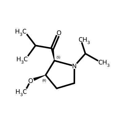 CO[C@@H]1CCN(C(C)C)[C@@H]1C(=O)C(C)C